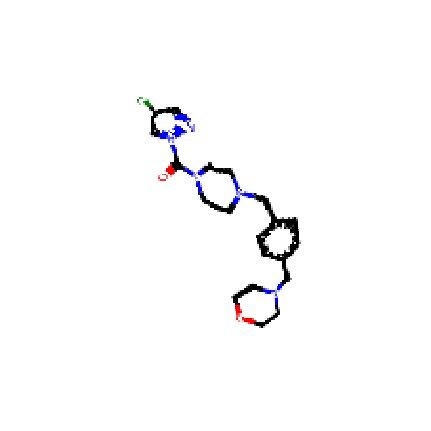 O=C(N1CCN(Cc2ccc(CN3CCOCC3)cc2)CC1)n1cc(Cl)cn1